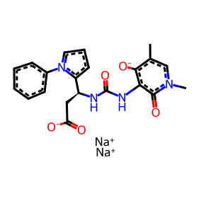 Cc1cn(C)c(=O)c(NC(=O)N[C@@H](CC(=O)[O-])c2cccn2-c2ccccc2)c1[O-].[Na+].[Na+]